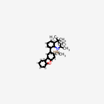 CC(C)N(c1c(-c2ccc3oc4ccccc4c3c2)cccc1C(C)(C)C)[SH](C)C